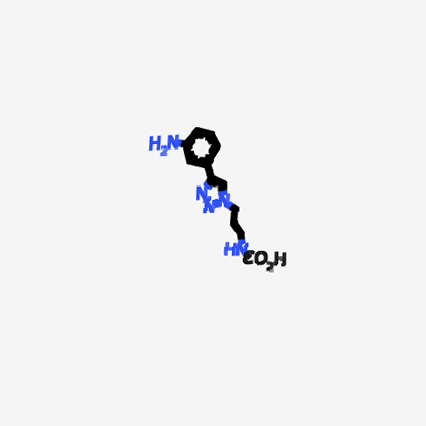 Nc1cccc(-c2cn(CCCNC(=O)O)nn2)c1